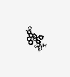 CCOC(=O)Nc1ccc(C2(c3ccccc3)C=Cc3c(c4c(c5cc(C)c(OC)cc35)CCc3ccccc3-4)O2)cc1